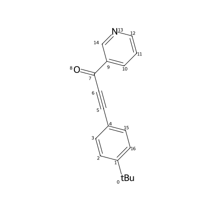 CC(C)(C)c1ccc(C#CC(=O)c2cccnc2)cc1